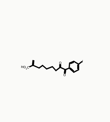 C=C(CCCCCC(=O)C(=O)c1ccc(I)cc1)C(=O)O